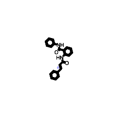 O=C(/C=C/c1ccccc1)Nc1ccccc1C(=O)Nc1ccccc1